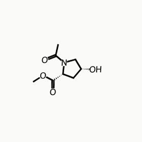 COC(=O)[C@H]1C[C@@H](O)CN1C(C)=O